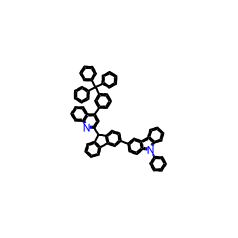 c1ccc(-n2c3ccccc3c3cc(-c4ccc5c(c4)-c4ccccc4C5c4cc(-c5cccc(C(c6ccccc6)(c6ccccc6)c6ccccc6)c5)c5ccccc5n4)ccc32)cc1